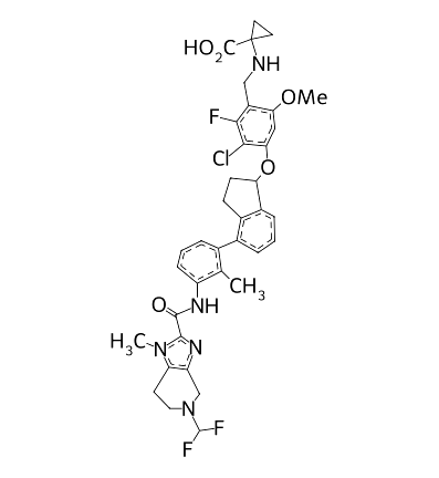 COc1cc(OC2CCc3c(-c4cccc(NC(=O)c5nc6c(n5C)CCN(C(F)F)C6)c4C)cccc32)c(Cl)c(F)c1CNC1(C(=O)O)CC1